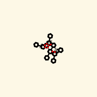 N#Cc1cc(-c2ccccc2)cc(-n2c3ccc(-c4ccccc4)cc3c3cc(-c4ccccc4)ccc32)c1-c1c(-c2ccc(C(F)(F)F)cc2C(F)(F)F)cccc1-n1c2ccccc2c2cc(-c3ccccc3)ccc21